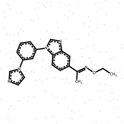 CCON=C(C)c1ccc2c(c1)ncn2-c1cccc(-n2ccnc2)c1